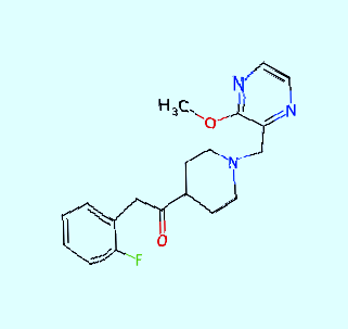 COc1nccnc1CN1CCC(C(=O)Cc2ccccc2F)CC1